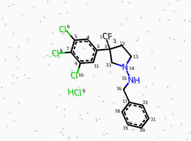 Cl.FC(F)(F)C1(c2cc(Cl)c(Cl)c(Cl)c2)CCN(NCc2ccccc2)C1